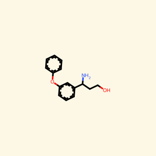 NC(CCO)c1cccc(Oc2ccccc2)c1